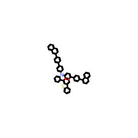 c1ccc(N(c2ccc(-c3ccc(-c4ccc5ccccc5c4)cc3)cc2)c2ccc(-c3ccc(-c4cccc5ccccc45)cc3)cc2)c(-c2cccc3c2sc2ccccc23)c1